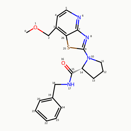 COCc1ccnc2nc(N3CCC[C@@H]3C(=O)NCc3ccccc3)sc12